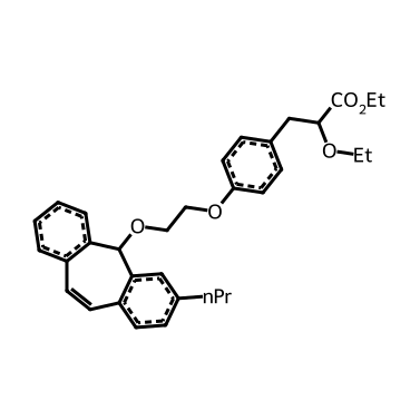 CCCc1ccc2c(c1)C(OCCOc1ccc(CC(OCC)C(=O)OCC)cc1)c1ccccc1C=C2